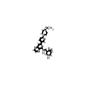 CSN1CCN(c2ccc(-c3cc4nccnc4c(NCC4CNCCC4(F)F)n3)cn2)CC1